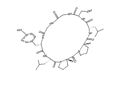 CC(C)C[C@@H]1NC(=O)[C@@H]2CCCN2C(=O)[C@@H]2CCCN2C(=O)[C@H](CC(C)C)NC(=O)[C@H](Cc2ccc(O)cc2)NC(=O)CNC(=O)CNC(=O)C(CO)NC1=O